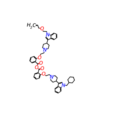 C=CCOCCn1cc(C2CCN(CCOc3ccccc3C(=O)OC(=O)c3ccccc3OCCN3CCC(c4cn(CC5CCCCC5)c5ccccc45)CC3)CC2)c2ccccc21